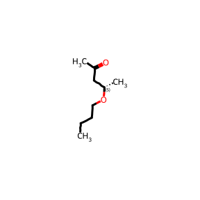 CCCCO[C@@H](C)CC(C)=O